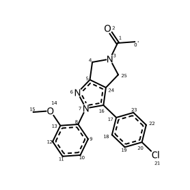 [CH2]C(=O)N1Cc2nn(-c3ccccc3OC)c(-c3ccc(Cl)cc3)c2C1